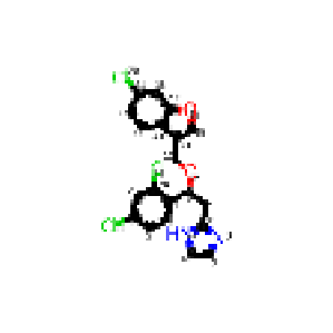 Clc1ccc(C(Cc2ncc[nH]2)OCc2coc3cc(Cl)ccc23)c(Cl)c1